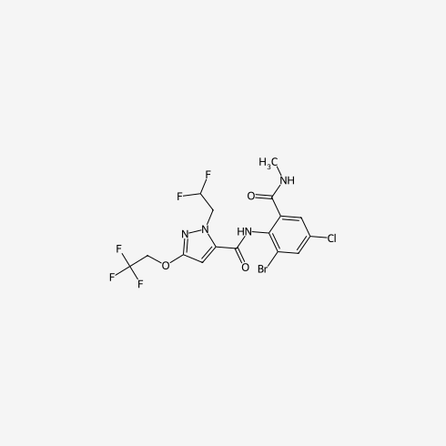 CNC(=O)c1cc(Cl)cc(Br)c1NC(=O)c1cc(OCC(F)(F)F)nn1CC(F)F